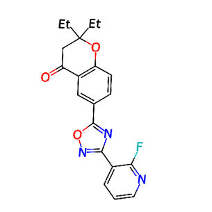 CCC1(CC)CC(=O)c2cc(-c3nc(-c4cccnc4F)no3)ccc2O1